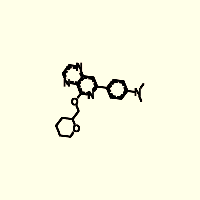 CN(C)c1ccc(-c2cc3nccnc3c(OCC3CCCCO3)n2)cc1